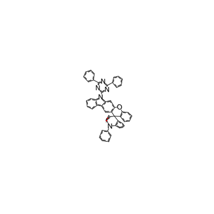 c1ccc(-c2nc(-c3ccccc3)nc(-n3c4ccccc4c4cc5c(cc43)Oc3ccccc3C53c4ccccc4N(c4ccccc4)c4ccccc43)n2)cc1